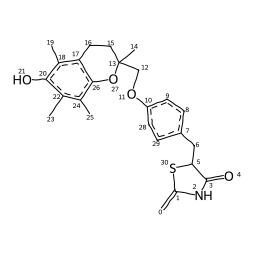 C=C1NC(=O)C(Cc2ccc(OCC3(C)CCc4c(C)c(O)c(C)c(C)c4O3)cc2)S1